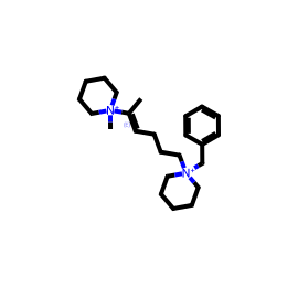 C/C(=C\CCC[N+]1(Cc2ccccc2)CCCCC1)[N+]1(C)CCCCC1